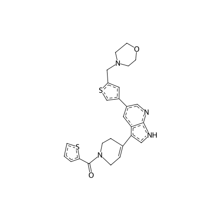 O=C(c1cccs1)N1CC=C(c2c[nH]c3ncc(-c4csc(CN5CCOCC5)c4)cc23)CC1